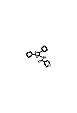 O=C(Nc1sc(-c2ccccc2)nc1-c1ccccc1)c1ccncc1